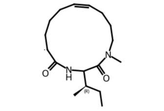 CC[C@@H](C)C1NC(=O)[CH]CCCC=CCCCN(C)C1=O